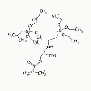 C=C(C)C(=O)OCC(O)CNCCC[Si](OCC)(OCC)OCC.CCNCO[Si](CC(C)C)(OC)OC